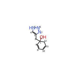 OC1(Cc2c[nH]nn2)C=CC=CC1